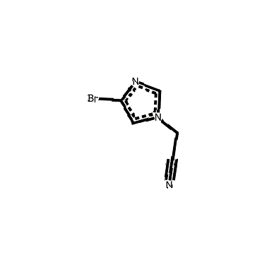 N#CCn1cnc(Br)c1